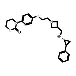 O=C1OCCCN1c1ccc(OCCN2CC(CN[C@@H]3CC3c3ccccc3)C2)cc1